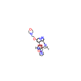 CC(C)(O)CC(=O)N1C2CC1CN(c1ccc(-c3cc(OCCN4CCOCC4)cn4ncc(C#N)c34)cn1)C2